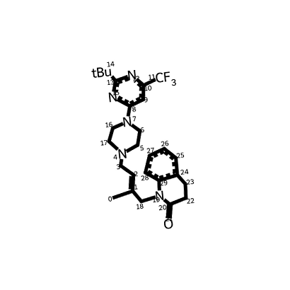 CC(=CCN1CCN(c2cc(C(F)(F)F)nc(C(C)(C)C)n2)CC1)CN1C(=O)CCc2ccccc21